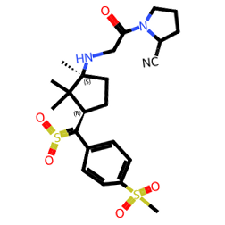 CC1(C)[C@H](C(c2ccc(S(C)(=O)=O)cc2)=S(=O)=O)CC[C@]1(C)NCC(=O)N1CCCC1C#N